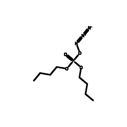 CCCCOP(=O)(OCCCC)ON=[N+]=[N-]